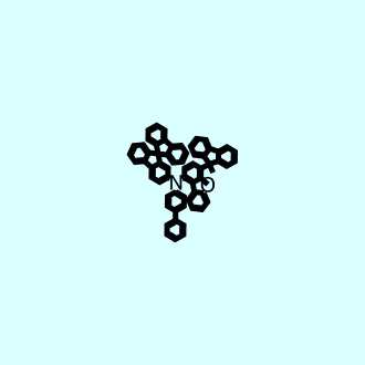 CC1(c2ccc(N(c3ccc(-c4ccccc4)cc3)c3ccc4c(c3)C3(c5ccccc5-c5ccccc53)c3ccccc3-4)c3c2oc2ccccc23)c2ccccc2-c2ccccc21